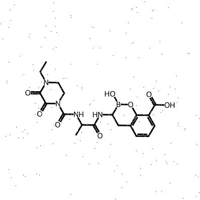 CCN1CCN(C(=O)NC(C)C(=O)NC2Cc3cccc(C(=O)O)c3OB2O)C(=O)C1=O